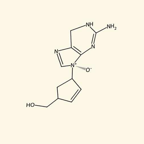 NC1=NC2=C(CN1)N=C[N@+]2([O-])C1C=CC(CO)C1